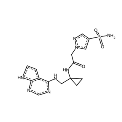 NS(=O)(=O)c1cnn(CC(=O)NC2(CNc3ncnc4[nH]ccc34)CC2)c1